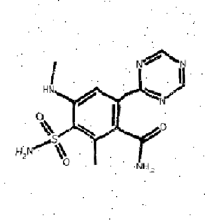 CNc1cc(-c2ncncn2)c(C(N)=O)c(C)c1S(N)(=O)=O